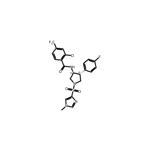 Cn1cnc(S(=O)(=O)N2C[C@@H](NC(=O)c3ccc(C(F)(F)F)cc3Cl)[C@H](c3ccc(F)cc3)C2)c1